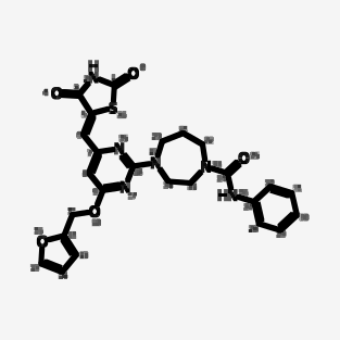 O=C1NC(=O)C(=Cc2cc(OCc3ccco3)nc(N3CCCN(C(=O)Nc4ccccc4)CC3)n2)S1